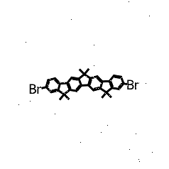 CC1(C)c2cc(Br)ccc2-c2cc3c(cc21)-c1cc2c(cc1C3(C)C)-c1ccc(Br)cc1C2(C)C